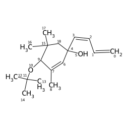 C=C/C=C\C1(O)C=C(C)C(OC(C)(C)C)C(C)(C)C1